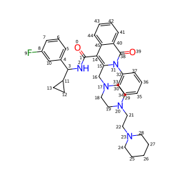 O=C(NC(c1cccc(F)c1)C1CC1)c1c(CN2CCN(CCN3CCCCC3)CC2)n(-c2ccccc2)c(=O)c2ccccc12